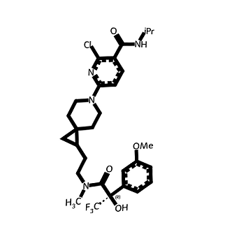 COc1cccc([C@@](O)(C(=O)N(C)CCC2CC23CCN(c2ccc(C(=O)NC(C)C)c(Cl)n2)CC3)C(F)(F)F)c1